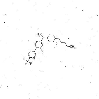 CCCCCC1CCC(C(C)c2ccc(-c3ccc(C(F)(F)F)nc3)c(F)c2)CC1